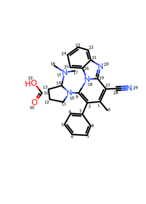 Cc1c(-c2ccccc2)c(N2CCCC2N(C)C)n2c(nc3ccccc32)c1C#N.O=CO